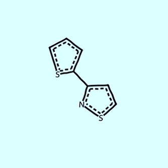 c1csc(-c2ccsn2)c1